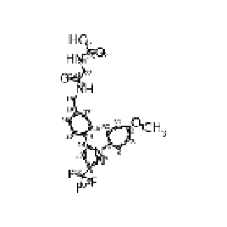 COc1ccc(-n2nc(C(F)(F)F)cc2-c2ccc(CNC(=O)CNC(=O)O)cc2)cc1